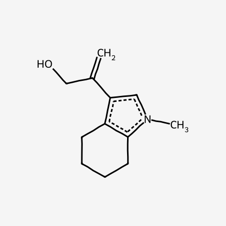 C=C(CO)c1cn(C)c2c1CCCC2